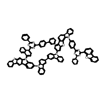 c1ccc(-c2ccc(-c3nc(-c4ccccc4)nc(-c4ccc(-n5c6cc(-n7c8ccccc8c8cc(-c9ccc%10c(c9)c9ccccc9n%10-c9ccc%10c(c9)oc9c%10ccc%10c%11ccccc%11n(-c%11ccc(-c%12nc(-c%13ccccc%13)nc(-c%13cccc%14c%13oc%13ccccc%13%14)n%12)cc%11)c%109)ccc87)ccc6c6cc7c(cc65)sc5ccccc57)c5ccccc45)n3)cc2)cc1